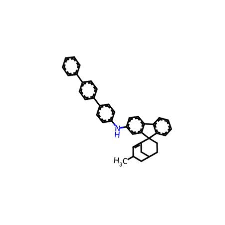 CC1C=C2CC(CCC23c2ccccc2-c2ccc(Nc4ccc(-c5ccc(-c6ccccc6)cc5)cc4)cc23)C1